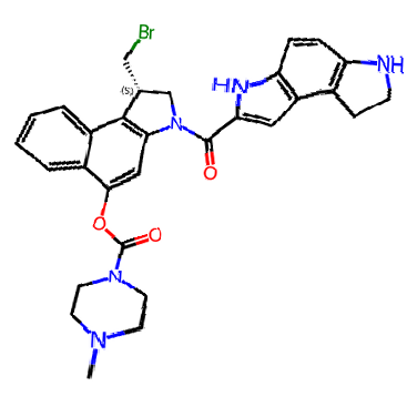 CN1CCN(C(=O)Oc2cc3c(c4ccccc24)[C@H](CBr)CN3C(=O)c2cc3c4c(ccc3[nH]2)NCC4)CC1